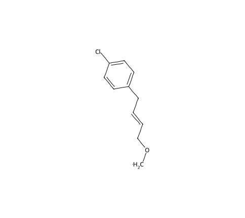 [CH2]OCC=CCc1ccc(Cl)cc1